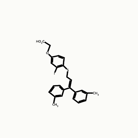 Cc1cccc(C(=CCSc2ccc(OCC(=O)O)cc2I)c2cccc(C)c2)c1